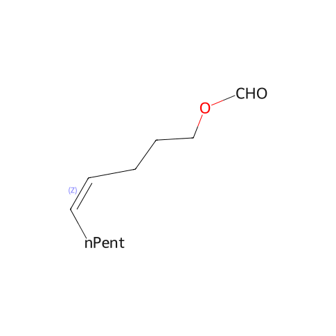 CCCCC/C=C\CCCOC=O